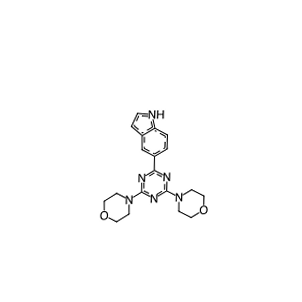 c1cc2cc(-c3nc(N4CCOCC4)nc(N4CCOCC4)n3)ccc2[nH]1